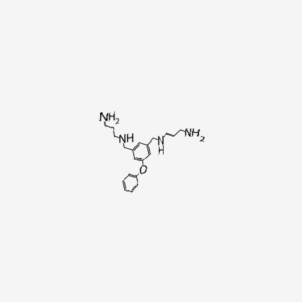 NCCCNCc1cc(CNCCCN)cc(Oc2ccccc2)c1